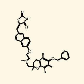 Cc1c(C)c2c(c(C)c1OCc1ccccc1)CCC(C)(CN(C)CCOc1ccc3cc(C=C4SC(=O)NC4=O)ccc3c1)O2